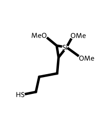 COC1C(CCCS)[Si]1(OC)OC